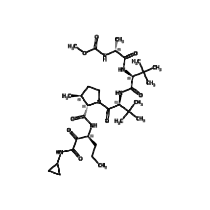 CCC[C@H](NC(=O)[C@@H]1[C@@H](C)CCN1C(=O)[C@@H](NC(=O)[C@@H](NC(=O)[C@@H](C)NC(=O)OC)C(C)(C)C)C(C)(C)C)C(=O)C(=O)NC1CC1